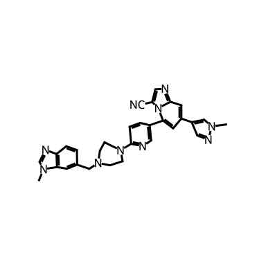 Cn1cc(-c2cc(-c3ccc(N4CCN(Cc5ccc6ncn(C)c6c5)CC4)nc3)n3c(C#N)cnc3c2)cn1